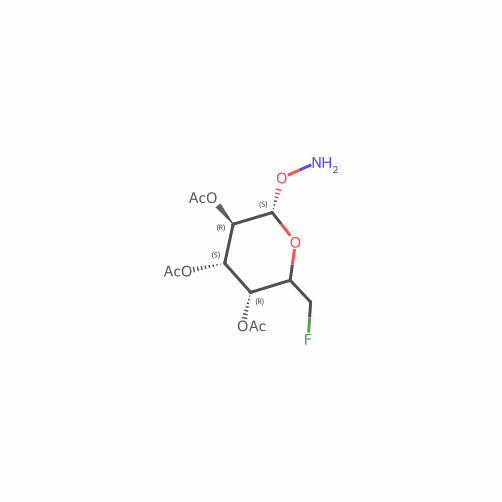 CC(=O)O[C@@H]1[C@@H](OC(C)=O)[C@H](ON)OC(CF)[C@@H]1OC(C)=O